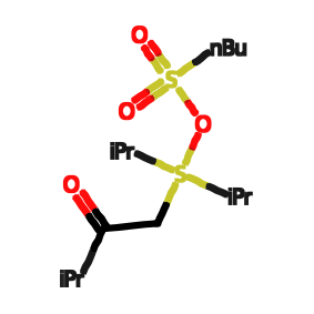 CCCCS(=O)(=O)OS(CC(=O)C(C)C)(C(C)C)C(C)C